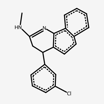 CNC1=Nc2c(ccc3ccccc23)C(c2cccc(Cl)c2)C1